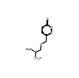 CN[C@@H](COCc1ccc(=O)on1)C(=O)O